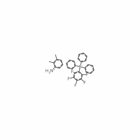 Cc1cccc([NH3+])c1C.Fc1c(F)c(F)c([B-](c2ccccc2)(c2ccccc2)c2ccccc2)c(F)c1F